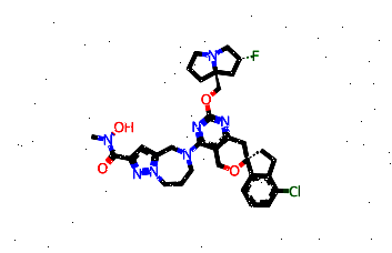 CN(O)C(=O)c1cc2n(n1)CCCN(c1nc(OC[C@@]34CCCN3C[C@H](F)C4)nc3c1CO[C@@]1(CCc4c(Cl)cccc41)C3)C2